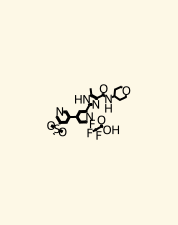 Cc1[nH]c(-c2cc(-c3cncc(S(C)(=O)=O)c3)ccn2)nc1C(=O)NC1CCOCC1.O=C(O)C(F)(F)F